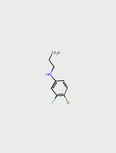 O=C(O)CCNc1ccc(Br)c(F)c1